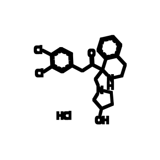 Cl.O=C(Cc1ccc(Cl)c(Cl)c1)C1(CN2CCC(O)C2)NCCc2ccccc21